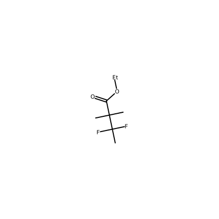 CCOC(=O)C(C)(C)C(C)(F)F